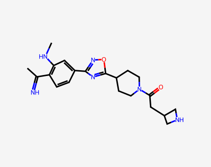 CNc1cc(-c2noc(C3CCN(C(=O)CC4CNC4)CC3)n2)ccc1C(C)=N